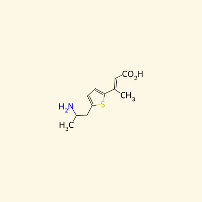 C/C(=C\C(=O)O)c1ccc(CC(C)N)s1